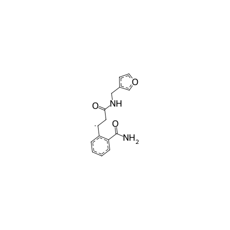 NC(=O)c1ccccc1[CH]CC(=O)NCc1ccoc1